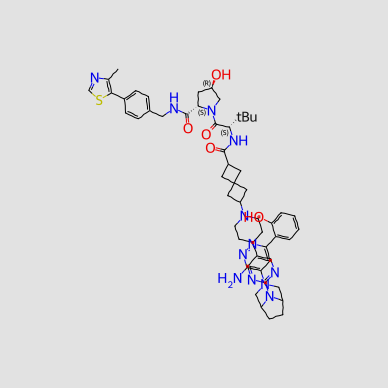 Cc1ncsc1-c1ccc(CNC(=O)[C@@H]2C[C@@H](O)CN2C(=O)[C@@H](NC(=O)C2CC3(C2)CC(N2CCC(c4cnc(N5C6CCC5CN(c5cc(-c7ccccc7O)nnc5N)C6)nc4)CC2)C3)C(C)(C)C)cc1